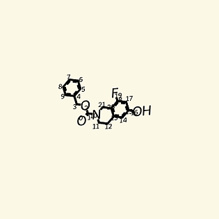 O=C(OCc1ccccc1)N1CCc2cc(O)cc(F)c2C1